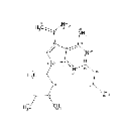 C=C(N)c1cn(C(C)CC(C)CC)c2nc(CCC)nc(N)c12